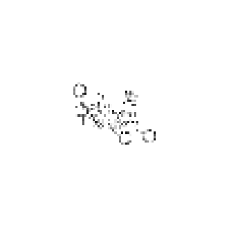 CC(C)(C)N(C[C@@H](O)[C@H](Cc1ccccc1)NC(=O)[C@H](CC(N)=O)NC(=O)OCc1ccccc1)C(=O)[C@@H]1C[C@H](c2ccccc2)CCN1